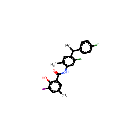 Cc1cc(I)c(O)c(C(=O)Nc2cc(Cl)c(C(C#N)c3ccc(Cl)cc3)cc2C)c1